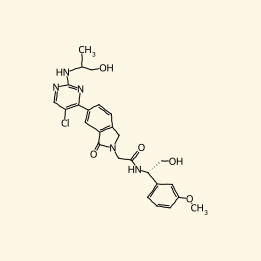 COc1cccc([C@@H](CO)NC(=O)CN2Cc3ccc(-c4nc(NC(C)CO)ncc4Cl)cc3C2=O)c1